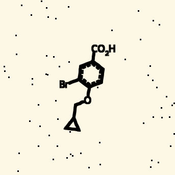 O=C(O)c1ccc(OCC2CC2)c(Br)c1